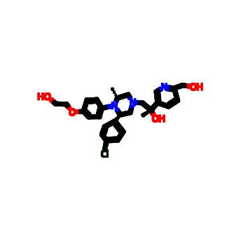 C[C@@H]1CN(C[C@@](C)(O)c2ccc(CO)nc2)C[C@@H](c2ccc(Cl)cc2)N1c1ccc(OCCO)cc1